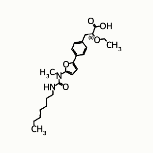 CCCCCCCNC(=O)N(C)c1ccc(-c2ccc(C[C@H](OCC)C(=O)O)cc2)o1